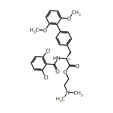 COc1cccc(OC)c1-c1ccc(C[C@H](NC(=O)c2c(Cl)cccc2Cl)C(=O)OCCN(C)C)cc1